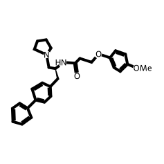 COc1ccc(OCCC(=O)N[C@@H](Cc2ccc(-c3ccccc3)cc2)CN2CCCC2)cc1